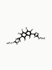 CCCCCc1nnc(-c2c(F)c(F)c3c(F)c(F)c(-c4nnc(CCCCC)s4)c(F)c3c2F)s1